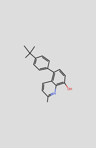 Cc1ccc2c(-c3ccc(C(C)(C)C)cc3)ccc(O)c2n1